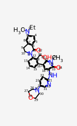 CCN(C)c1ccc2c(c1)CCN(c1cccc(-c3cc(Nc4ccc(N5CCOCC5)cn4)c(=O)n(C)c3)c1CO)C2=O